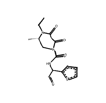 CCN1C(=O)C(=O)N(C(=O)NC([C]=O)c2cccs2)C[C@@H]1C